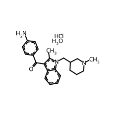 Cc1c(C(=O)c2ccc(N)cc2)c2ccccc2n1CC1CCCN(C)C1.Cl.O